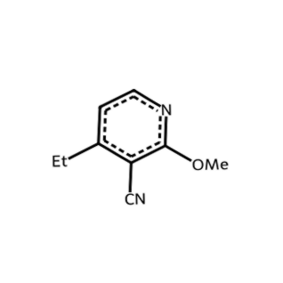 CCc1ccnc(OC)c1C#N